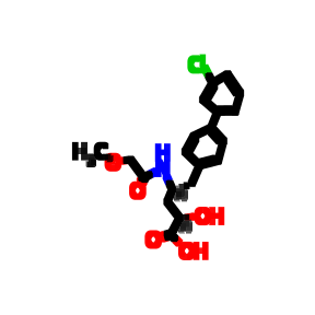 COCC(=O)N[C@H](Cc1ccc(-c2cccc(Cl)c2)cc1)C[C@@H](O)C(=O)O